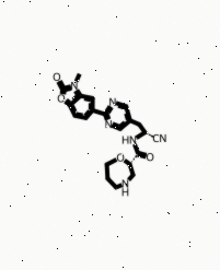 Cn1c(=O)oc2ccc(-c3ncc(C[C@H](C#N)NC(=O)[C@@H]4CNCCCO4)cn3)cc21